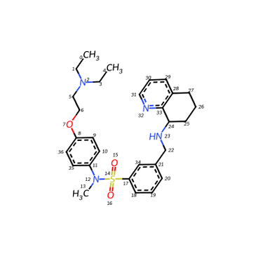 CCN(CC)CCOc1ccc(N(C)S(=O)(=O)c2cccc(CNC3CCCc4cccnc43)c2)cc1